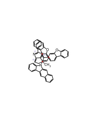 CC1C/C=C(c2c(-n3c4ccccc4c4cc5ccccc5cc43)ccc3oc4ccccc4c23)/N=C(c2ccccc2)\N=C/1c1ccc2c(c1)oc1ccccc12